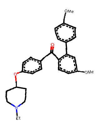 CCN1CCC(Oc2ccc(C(=O)c3ccc(OC)cc3-c3ccc(OC)cc3)cc2)CC1